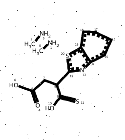 CN.CN.O=C(O)CC(C(O)=S)c1nc2ccccc2s1